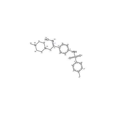 Cc1ccc(S(=O)(=O)Nc2ccc(/C(CN3CCN(C)CC3)=N/O)cc2)cc1